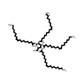 CCCCCCCC/C=C\CCCCCCCC(=O)OC[C@@H](OC(=O)CCCCCCC/C=C\CCCCCCCC)[C@H](OC(=O)CCCCCCC/C=C\CCCCCCCC)[C@@H](OC(=O)CCCCCCC/C=C\CCCCCCCC)[C@H](O)CO